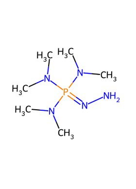 CN(C)P(=NN)(N(C)C)N(C)C